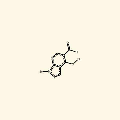 CCOc1c(C(=O)Cl)cnc2c1cnn2CC